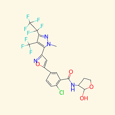 Cn1nc(C(F)(F)C(F)(F)F)c(C(F)(F)F)c1-c1cc(-c2ccc(Cl)c(C(=O)NC3CCOC3O)c2)on1